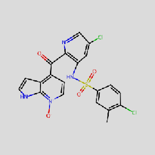 Cc1cc(S(=O)(=O)Nc2cc(Cl)cnc2C(=O)c2cc[n+]([O-])c3[nH]ccc23)ccc1Cl